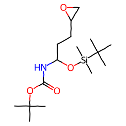 CC(C)(C)OC(=O)NC(CCC1CO1)O[Si](C)(C)C(C)(C)C